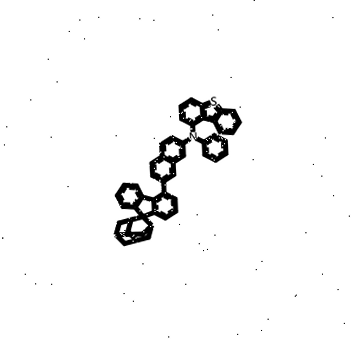 c1ccc(N(c2ccc3ccc(-c4cccc5c4-c4ccccc4C54C5CC6CC(C5)CC4C6)cc3c2)c2cccc3sc4ccccc4c23)cc1